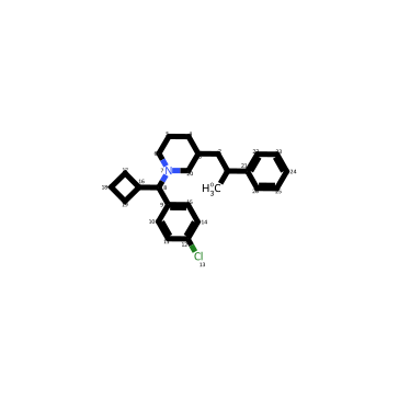 CC(CC1CCCN(C(c2ccc(Cl)cc2)C2CCC2)C1)c1ccccc1